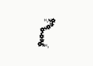 NCc1ccccc1-c1ccn(-c2ccc(CCc3cccc(CCc4ccc(-n5ccc(-c6ccccc6CN)n5)cc4)c3)cc2)n1